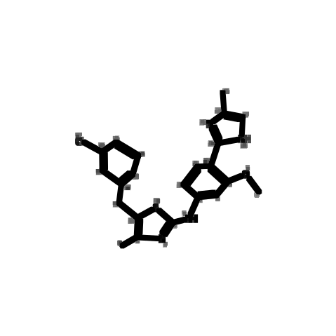 COc1cc(Nc2nc(C)c(Cc3cccc(Cl)c3)s2)ccc1-c1nc(C)c[nH]1